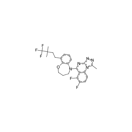 Cc1nnc2nc(N3CCCOc4c(CCC(C)(C)C(F)(F)F)cccc43)c3c(F)c(F)ccc3n12